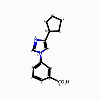 O=C(O)c1cccc(-n2cnc(C3CCCC3)c2)c1